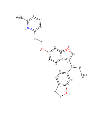 CNc1cccc(CCOc2ccc3c(C(CC(=O)O)c4ccc5c(c4)OCC5)coc3c2)n1